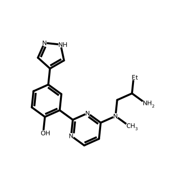 CCC(N)CN(C)c1ccnc(-c2cc(-c3cn[nH]c3)ccc2O)n1